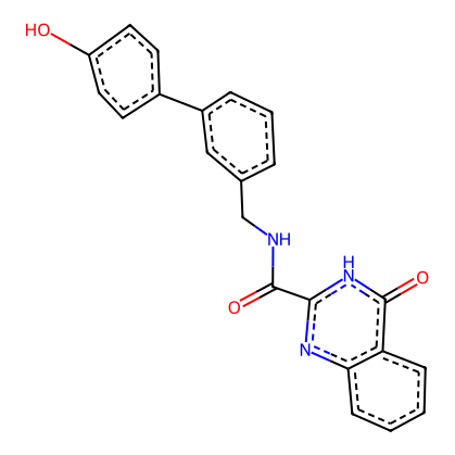 O=C(NCc1cccc(-c2ccc(O)cc2)c1)c1nc2ccccc2c(=O)[nH]1